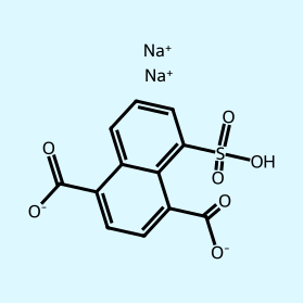 O=C([O-])c1ccc(C(=O)[O-])c2c(S(=O)(=O)O)cccc12.[Na+].[Na+]